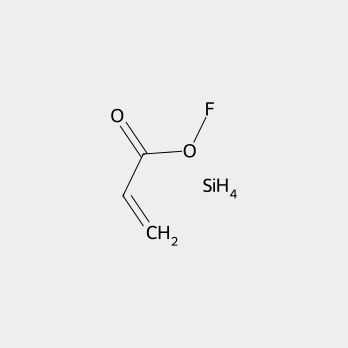 C=CC(=O)OF.[SiH4]